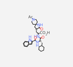 CC(=O)N1CCC2(CC1)C[C@H](C[C@H](NC(=O)[C@H](CC1CCCCC1)NC(=O)c1cc3ccccc3[nH]1)C(=O)O)C(=O)N2